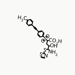 Cc1ccc(C#Cc2ccc(S(=O)(=O)C(CC(O)C(N)Sc3nccs3)C(=O)O)cc2)cc1